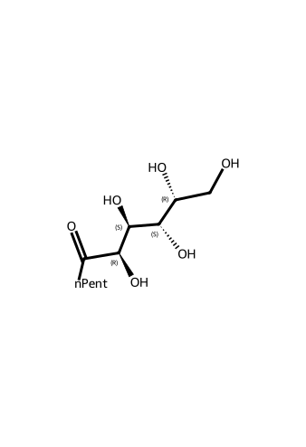 CCCCCC(=O)[C@H](O)[C@@H](O)[C@@H](O)[C@H](O)CO